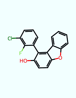 Oc1ccc2oc3ccccc3c2c1-c1cccc(Cl)c1F